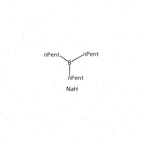 CCCCCB(CCCCC)CCCCC.[NaH]